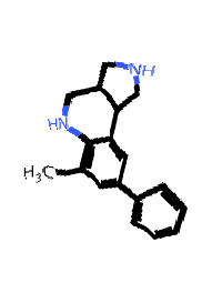 Cc1cc(-c2ccccc2)cc2c1NCC1CNCC21